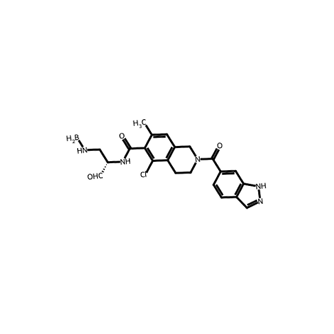 BNC[C@@H](C=O)NC(=O)c1c(C)cc2c(c1Cl)CCN(C(=O)c1ccc3cn[nH]c3c1)C2